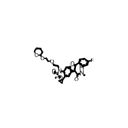 CNC(=O)c1c(-c2ccc(F)cc2)oc2cc(N(CCOCCOC3CCCCO3)S(C)(=O)=O)c(C3CC3)cc12